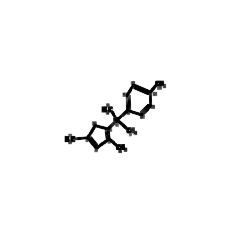 CC1=CC(C)=C([Si](C)(C)c2ccc(C)cc2)C1